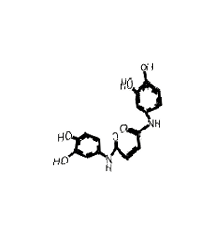 O=C(/C=C\C(=O)Nc1ccc(O)c(O)c1)Nc1ccc(O)c(O)c1